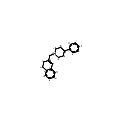 C1=C(CN2CCC(c3ccccc3)CC2)CCc2ccccc21